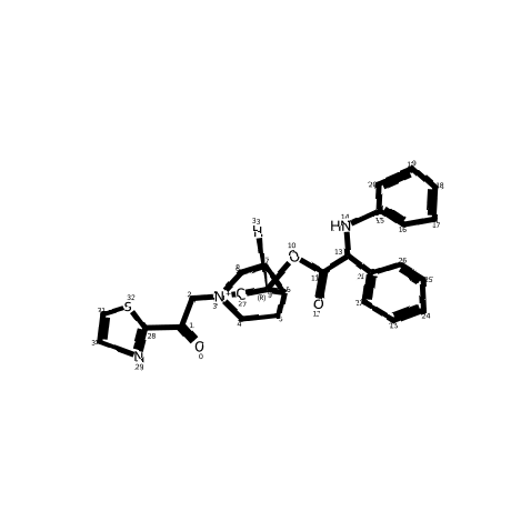 O=C(C[N+]12CCC(CC1)[C@@H](OC(=O)C(Nc1ccccc1)c1ccccc1)C2)c1nccs1